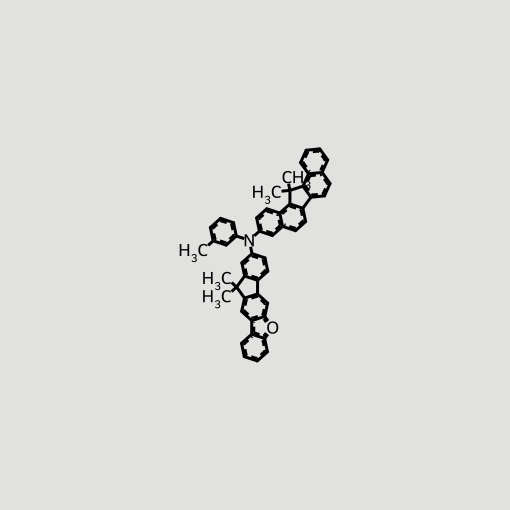 Cc1cccc(N(c2ccc3c(c2)C(C)(C)c2cc4c(cc2-3)oc2ccccc24)c2ccc3c4c(ccc3c2)-c2ccc3ccccc3c2C4(C)C)c1